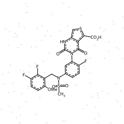 COc1ccc(F)c(F)c1CN(c1ccc(F)c(-n2c(=O)[nH]c3csc(C(=O)O)c3c2=O)c1)S(C)(=O)=O